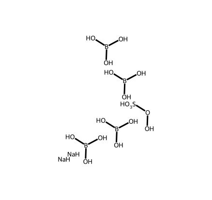 O=S(=O)(O)OO.OB(O)O.OB(O)O.OB(O)O.OB(O)O.[NaH].[NaH]